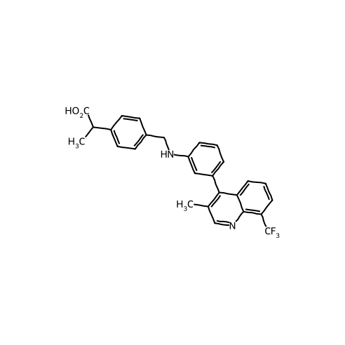 Cc1cnc2c(C(F)(F)F)cccc2c1-c1cccc(NCc2ccc(C(C)C(=O)O)cc2)c1